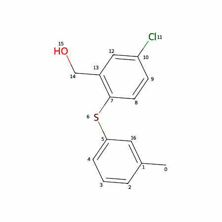 Cc1cccc(Sc2ccc(Cl)cc2CO)c1